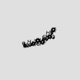 COc1cc(Cn2ncc3c(-c4cccc(-c5ccc(CNCC6CCC(=O)N6)cc5)c4Cl)cccc32)c(Cl)cc1CNC1CCCCC1